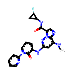 CNc1cc(Nc2cccn(-c3ccccn3)c2=O)nn2c(C(=O)NC3C[C@@H]3F)cnc12